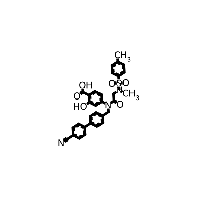 Cc1ccc(S(=O)(=O)N(C)CC(=O)N(Cc2ccc(-c3ccc(C#N)cc3)cc2)c2ccc(C(=O)O)c(O)c2)cc1